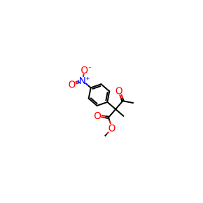 COC(=O)C(C)(C(C)=O)c1ccc([N+](=O)[O-])cc1